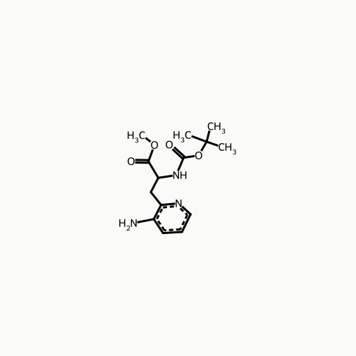 COC(=O)C(Cc1ncccc1N)NC(=O)OC(C)(C)C